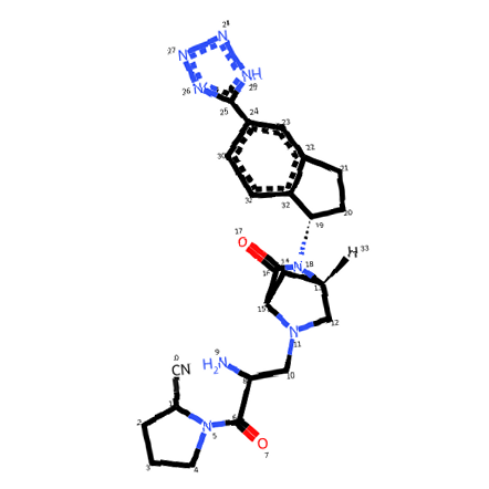 N#CC1CCCN1C(=O)C(N)CN1C[C@@H]2CC1C(=O)N2[C@H]1CCc2cc(-c3nnn[nH]3)ccc21